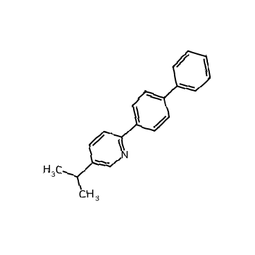 CC(C)c1ccc(-c2ccc(-c3ccccc3)cc2)nc1